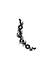 C=CCN(C)c1ccc(/N=N/c2ncc(-c3cnc(/N=N/c4ccc(N(C)CC=C)cc4)s3)s2)cc1